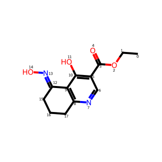 CCOC(=O)c1cnc2c(c1O)/C(=N/O)CCC2